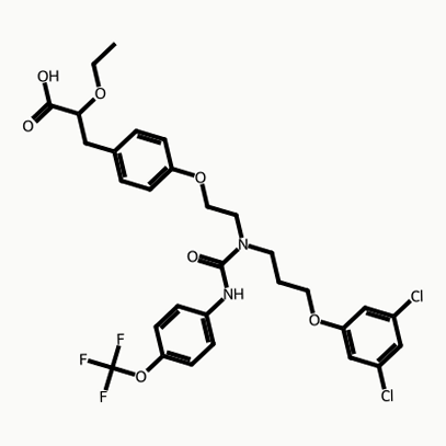 CCOC(Cc1ccc(OCCN(CCCOc2cc(Cl)cc(Cl)c2)C(=O)Nc2ccc(OC(F)(F)F)cc2)cc1)C(=O)O